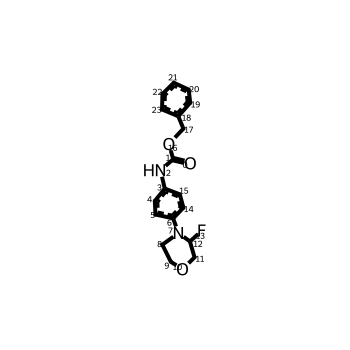 O=C(Nc1ccc(N2CCOCC2F)cc1)OCc1ccccc1